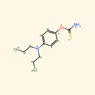 NC(=S)Oc1ccc(N(CCCl)CCCl)cc1